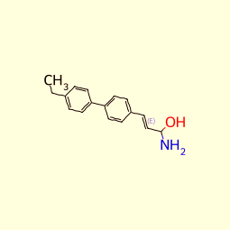 CCc1ccc(-c2ccc(/C=C/C(N)O)cc2)cc1